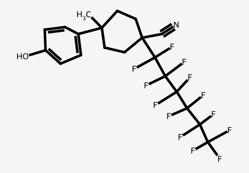 CC1(c2ccc(O)cc2)CCC(C#N)(C(F)(F)C(F)(F)C(F)(F)C(F)(F)C(F)(F)C(F)(F)F)CC1